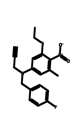 C#CCN(Cc1ccc(F)cc1)c1cc(C)c([N+](=O)[O-])c(SCC)c1